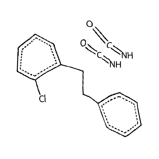 Clc1ccccc1CCc1ccccc1.N=C=O.N=C=O